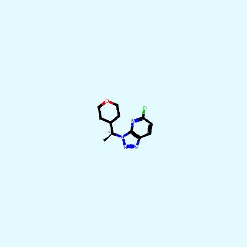 C[C@@H](C1CCOCC1)n1nnc2ccc(Cl)nc21